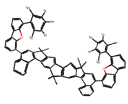 [2H]c1c([2H])c([2H])c(-c2cccc3c2oc2c(-c4cc5c(c6ccccc46)-c4cc6c(cc4C5(C)C)-c4cc5c(cc4C6(C)C)-c4c(cc(-c6cccc7c6oc6c(-c8c([2H])c([2H])c([2H])c([2H])c8[2H])cccc67)c6ccccc46)C5(C)C)cccc23)c([2H])c1[2H]